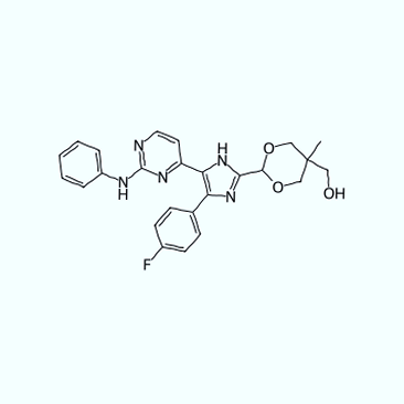 CC1(CO)COC(c2nc(-c3ccc(F)cc3)c(-c3ccnc(Nc4ccccc4)n3)[nH]2)OC1